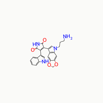 NCCCn1cc(C2=C(c3c[nH]c4ccccc34)C(=O)NC2=O)c2cc3c(cc21)OCO3